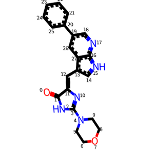 O=C1NC(N2CCOCC2)=NC1=Cc1c[nH]c2ncc(-c3ccccc3)cc12